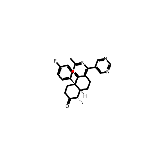 Cc1nc(-c2cncnc2)c2c(n1)[C@@]1(c3ccc(F)cc3)CCC(=O)[C@@H](C)[C@@H]1CC2